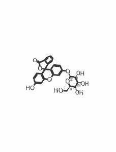 O=C1OC2(c3ccc(O)cc3Oc3cc(O[C@@H]4O[C@H](CO)[C@@H](O)[C@H](O)[C@H]4O)ccc32)c2ccccc21